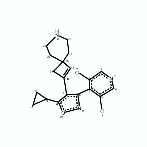 Clc1cncc(Cl)c1-c1noc(C2CC2)c1C1=CC2(CCNCC2)C1